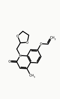 C=COc1ccc2c(C)cc(=O)n(CC3OCCO3)c2c1